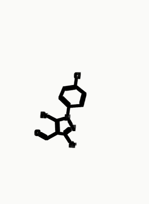 O=Cc1c(Br)nn(-c2ccc(Cl)cc2)c1Br